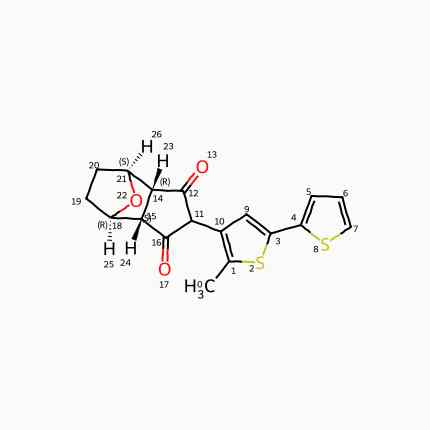 Cc1sc(-c2cccs2)cc1C1C(=O)[C@@H]2[C@H](C1=O)[C@H]1CC[C@@H]2O1